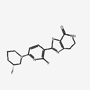 O=C1NCCc2nc(-c3ccc(N4CCC[C@@H](F)C4)nc3F)sc21